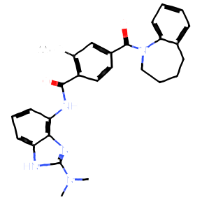 COc1cc(C(=O)N2CCCCc3ccccc32)ccc1C(=O)Nc1cccc2[nH]c(N(C)C)nc12